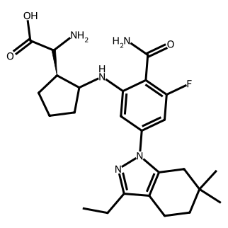 CCc1nn(-c2cc(F)c(C(N)=O)c(NC3CCC[C@H]3C(N)C(=O)O)c2)c2c1CCC(C)(C)C2